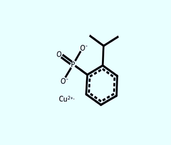 CC(C)c1ccccc1P(=O)([O-])[O-].[Cu+2]